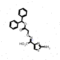 Nc1nc(/C(=N/OCC(=O)OC(c2ccccc2)c2ccccc2)C(=O)O)cs1